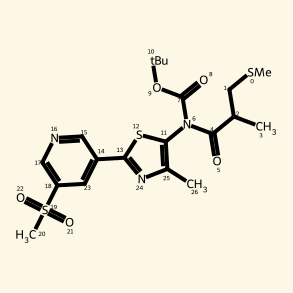 CSCC(C)C(=O)N(C(=O)OC(C)(C)C)c1sc(-c2cncc(S(C)(=O)=O)c2)nc1C